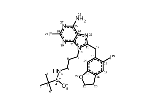 CC(C)(C)[S+]([O-])NCCCn1c(Cc2cc3c(cc2I)CCO3)nc2c(N)nc(F)nc21